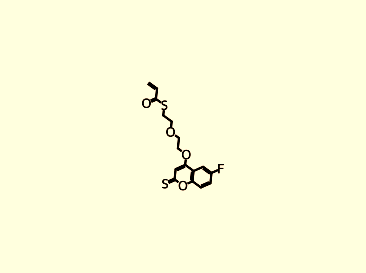 C=CC(=O)SCCOCCOc1cc(=S)oc2ccc(F)cc12